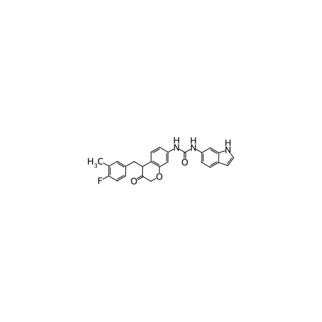 Cc1cc(CC2C(=O)COc3cc(NC(=O)Nc4ccc5cc[nH]c5c4)ccc32)ccc1F